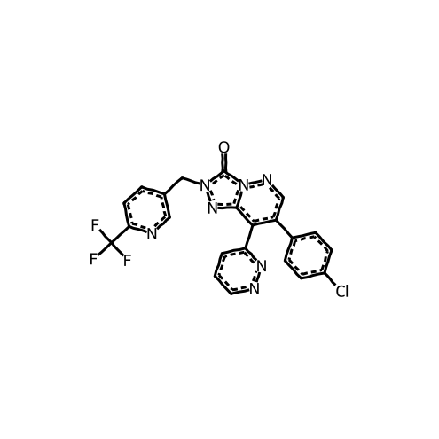 O=c1n(Cc2ccc(C(F)(F)F)nc2)nc2c(-c3cccnn3)c(-c3ccc(Cl)cc3)cnn12